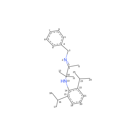 C/C(=N\Cc1ccccc1)C(C)(C)Nc1c(C(C)C)cccc1C(C)C